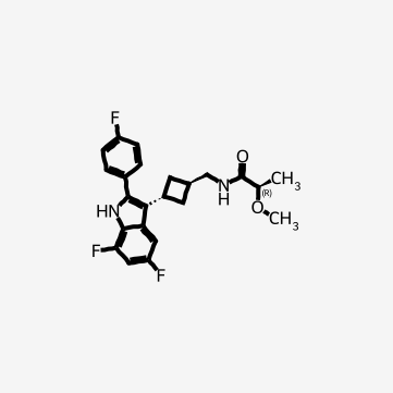 CO[C@H](C)C(=O)NC[C@H]1C[C@H](c2c(-c3ccc(F)cc3)[nH]c3c(F)cc(F)cc32)C1